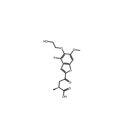 COc1cc2sc(C(=O)C[C@H](C)C(=O)O)cc2c(F)c1OCCO